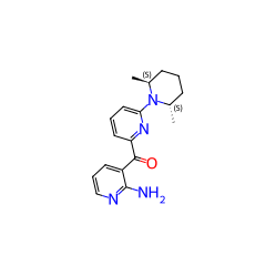 C[C@H]1CCC[C@H](C)N1c1cccc(C(=O)c2cccnc2N)n1